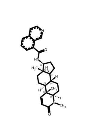 CN1C(=O)C=C[C@]2(C)[C@H]3CC[C@]4(C)[C@@H](NC(=O)c5cccc6ccncc56)CC[C@H]4[C@@H]3CC[C@@H]12